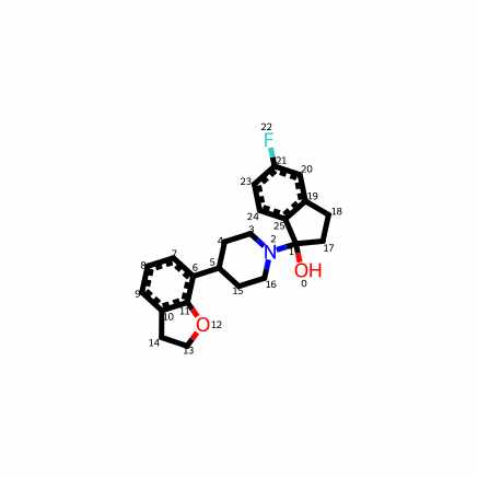 OC1(N2CCC(c3cccc4c3OCC4)CC2)CCc2cc(F)ccc21